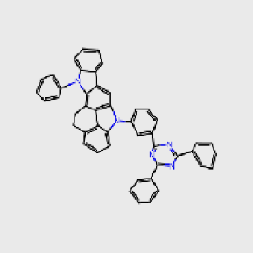 c1ccc(-c2nc(-c3ccccc3)nc(-c3cccc(-n4c5cccc6c5c5c(c7c(cc54)c4ccccc4n7-c4ccccc4)CC6)c3)n2)cc1